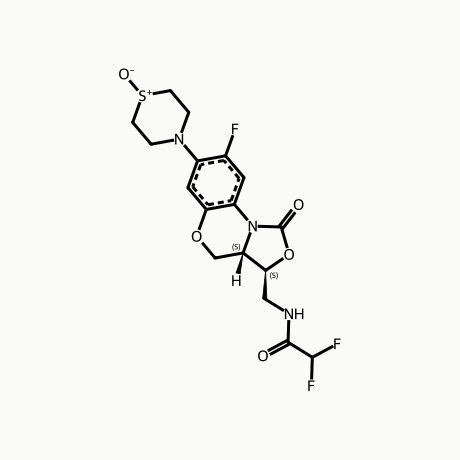 O=C(NC[C@@H]1OC(=O)N2c3cc(F)c(N4CC[S+]([O-])CC4)cc3OC[C@@H]12)C(F)F